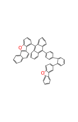 c1ccc(-c2ccc3oc4ccccc4c3c2)c(-c2ccc(-c3c4ccccc4c(-c4cccc5oc6c7ccccc7ccc6c45)c4ccccc34)cc2)c1